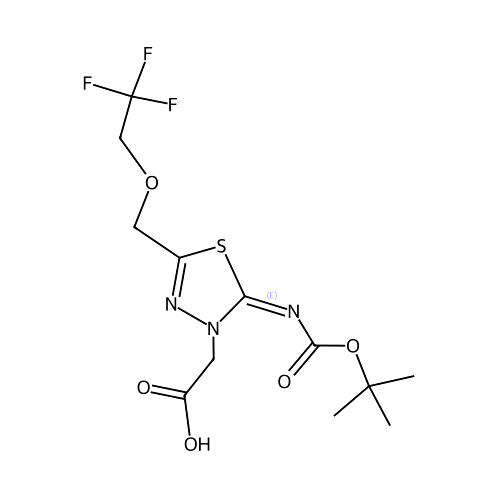 CC(C)(C)OC(=O)/N=c1/sc(COCC(F)(F)F)nn1CC(=O)O